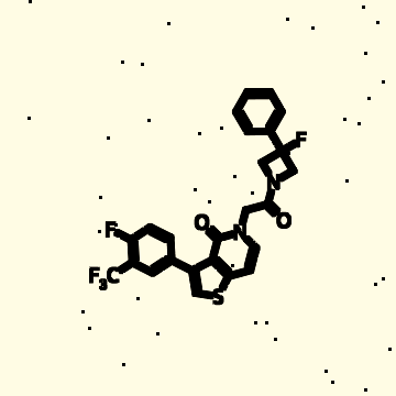 O=C(Cn1ccc2scc(-c3ccc(F)c(C(F)(F)F)c3)c2c1=O)N1CC(F)(c2ccccc2)C1